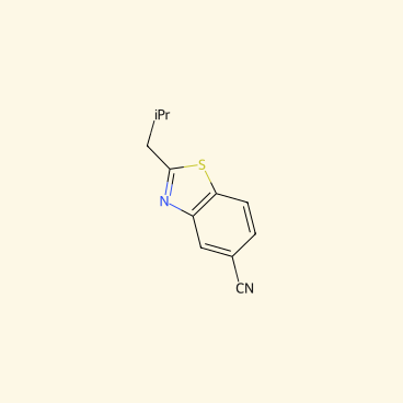 CC(C)Cc1nc2cc(C#N)ccc2s1